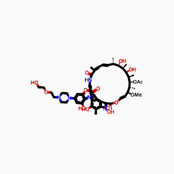 CO[C@H]1/C=C/O[C@@]2(C)Oc3c(C)c(O)c4c(=O)c(c5oc6cc(N7CCN(CCOCCO)CC7)cc(O)c6nc-5c4c3/C2=N/O)NC(=O)/C(C)=C\C=C\[C@H](C)[C@H](O)[C@@H](C)[C@@H](O)[C@@H](C)[C@H](OC(C)=O)[C@@H]1C